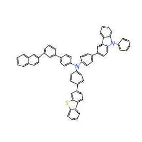 c1ccc(-n2c3ccccc3c3cc(-c4ccc(N(c5ccc(-c6cccc(-c7ccc8ccccc8c7)c6)cc5)c5ccc(-c6ccc7c(c6)sc6ccccc67)cc5)cc4)ccc32)cc1